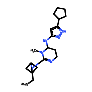 CNCC12CC(C1)N(C1=NCCC(Nc3cc(C4CCCC4)[nH]n3)N1C)C2